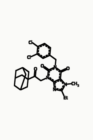 CCc1nc2c(c(=O)n(Cc3ccc(Cl)c(Cl)c3)c(=O)n2CC(=O)C23CC4CC(CC(C4)C2)C3)n1C